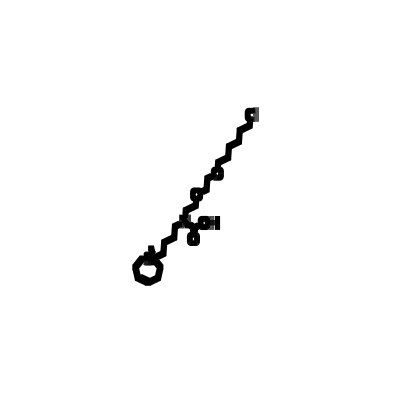 C[Si]1(CCCCN(CCOCCOCCCCCCCl)C(=O)O)CCC=CCC1